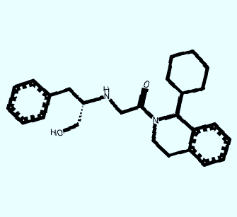 O=C(CN[C@H](CO)Cc1ccccc1)N1CCc2ccccc2C1C1CCCCC1